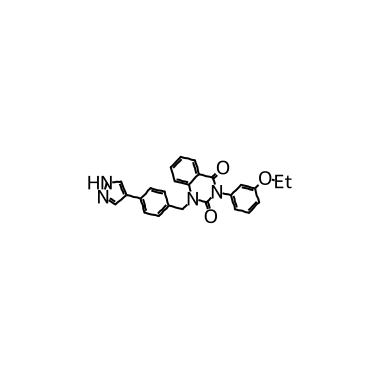 CCOc1cccc(-n2c(=O)c3ccccc3n(Cc3ccc(-c4cn[nH]c4)cc3)c2=O)c1